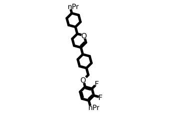 CCCc1ccc(OCC2CCC(C3=COC(C4CCC(CCC)CC4)CC3)CC2)c(F)c1F